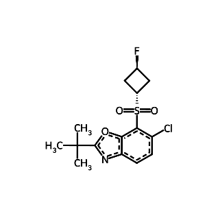 CC(C)(C)c1nc2ccc(Cl)c(S(=O)(=O)[C@H]3C[C@H](F)C3)c2o1